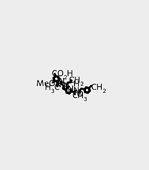 C=CCn1c(-c2nc3cc(C(=O)O)cc(OC)c3n2C)cc2ccc(C(C)NC(=O)Cc3cccc(C=C)c3)nc21